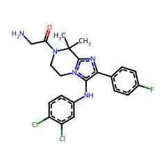 CC1(C)c2nc(-c3ccc(F)cc3)c(Nc3ccc(Cl)c(Cl)c3)n2CCN1C(=O)CN